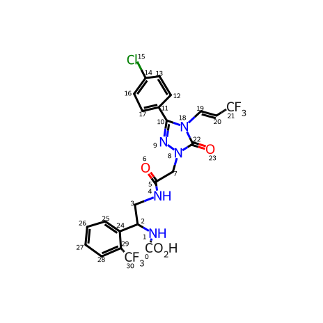 O=C(O)NC(CNC(=O)Cn1nc(-c2ccc(Cl)cc2)n(/C=C/C(F)(F)F)c1=O)c1ccccc1C(F)(F)F